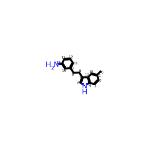 Cc1ccc2[nH]cc(CCc3cccc(N)c3)c2c1